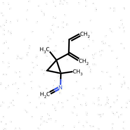 C=CC(=C)C1(C)CC1(C)N=C